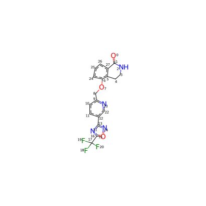 O=C1NCCc2c(OCc3ccc(-c4noc(C(F)(F)F)n4)cn3)cccc21